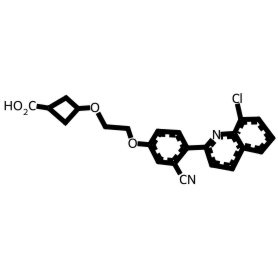 N#Cc1cc(OCCOC2CC(C(=O)O)C2)ccc1-c1ccc2cccc(Cl)c2n1